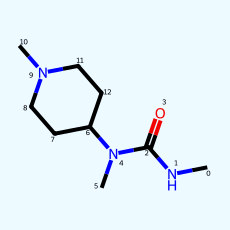 CNC(=O)N(C)C1CCN(C)CC1